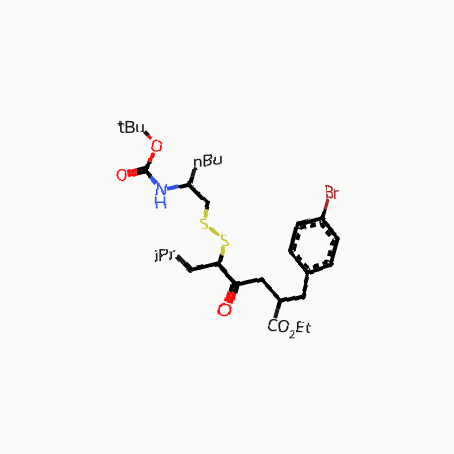 CCCCC(CSSC(CC(C)C)C(=O)CC(Cc1ccc(Br)cc1)C(=O)OCC)NC(=O)OC(C)(C)C